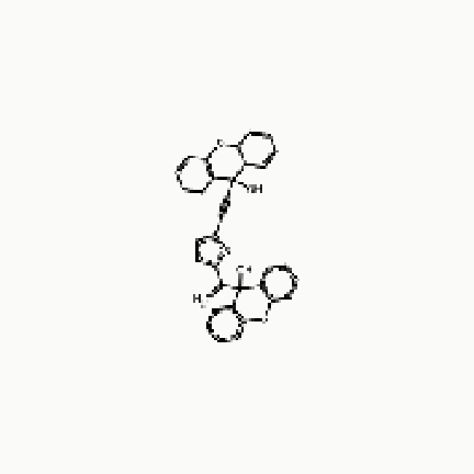 C=C(c1ccc(C#CC2(O)C3=C(C=CCC3)SC3C=CC=CC32)s1)C1(O)c2ccccc2Sc2ccccc21